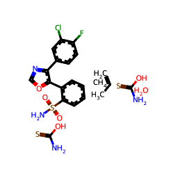 C.C=CC.NC(O)=S.NC(O)=S.NS(=O)(=O)c1ccccc1-c1ocnc1-c1ccc(F)c(Cl)c1.O